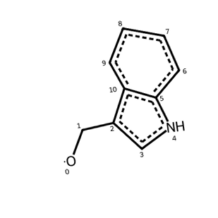 [O]Cc1c[nH]c2ccccc12